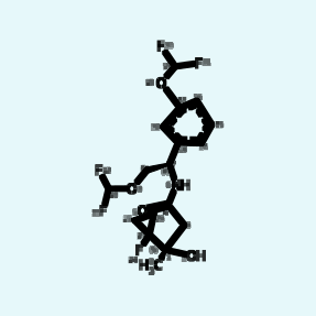 C[C@](O)(CC(=O)N[C@@H](COC(F)F)c1cccc(OC(F)F)c1)C1(F)CC1